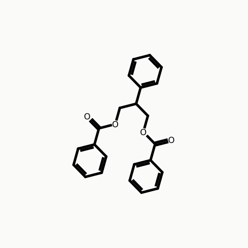 O=C(OCC(COC(=O)c1ccccc1)c1ccccc1)c1ccccc1